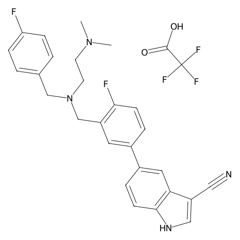 CN(C)CCN(Cc1ccc(F)cc1)Cc1cc(-c2ccc3[nH]cc(C#N)c3c2)ccc1F.O=C(O)C(F)(F)F